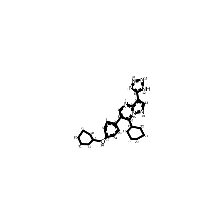 c1cc(-c2cnc3c(-c4nnn[nH]4)cnn3c2C2CCCCC2)ccc1OC1CCCCC1